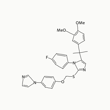 COc1ccc(C(C)(C)c2cnc(SCOc3ccc(-n4ccnc4)cc3)n2-c2ccc(F)cc2)cc1OC